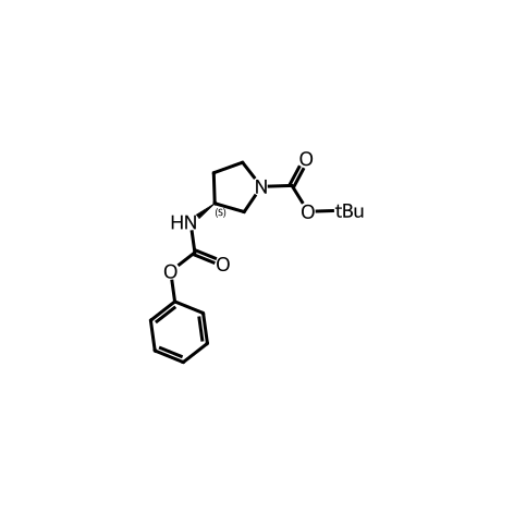 CC(C)(C)OC(=O)N1CC[C@H](NC(=O)Oc2ccccc2)C1